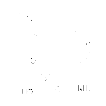 CCOc1cccc(N)c1S(=O)(=O)O